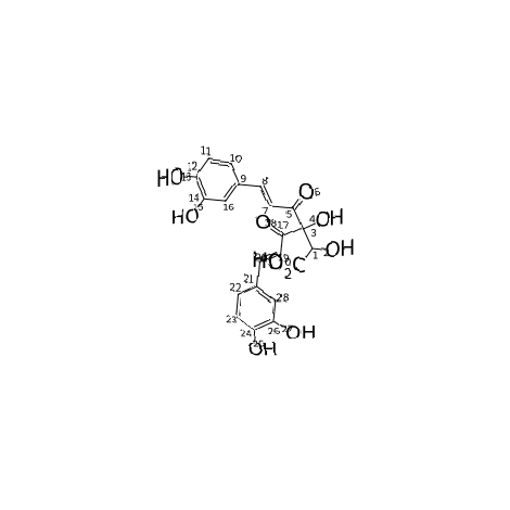 O=C(O)C(O)C(O)(C(=O)/C=C/c1ccc(O)c(O)c1)C(=O)/C=C/c1ccc(O)c(O)c1